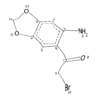 Nc1cc2c(cc1C(=O)CBr)OCO2